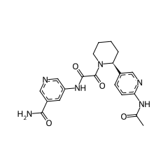 CC(=O)Nc1ccc([C@@H]2CCCCN2C(=O)C(=O)Nc2cncc(C(N)=O)c2)cn1